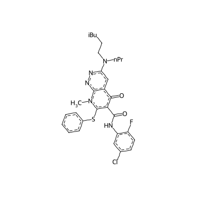 CCCN(CCC(C)CC)c1cc2c(=O)c(C(=O)Nc3cc(Cl)ccc3F)c(Sc3ccccc3)n(C)c2nn1